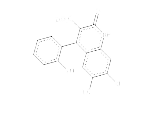 CCOC(=O)c1c(-c2ccccc2C)c2cc(C)c(Cl)cc2[nH]c1=O